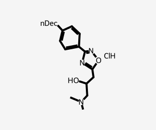 CCCCCCCCCCc1ccc(-c2noc(CC(O)CN(C)C)n2)cc1.Cl